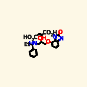 CCC(NCC(O)COc1cccc2c1=NC(=O)N=2)c1ccccc1.O=C(O)C=CC(=O)O